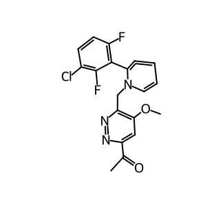 COc1cc(C(C)=O)nnc1CN1C=CC=C=C1c1c(F)ccc(Cl)c1F